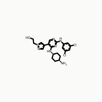 N[C@H]1CC[C@@H](Nc2nc(Nc3cc(Cl)cc(Cl)c3)ncc2-c2cnn(CCO)c2)CC1